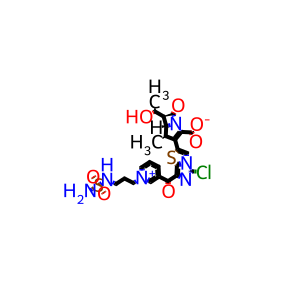 C[C@@H](O)[C@H]1C(=O)N2C(C(=O)[O-])=C(c3cn4c(Cl)nc(C(=O)c5ccc[n+](CCCNS(N)(=O)=O)c5)c4s3)[C@H](C)[C@H]12